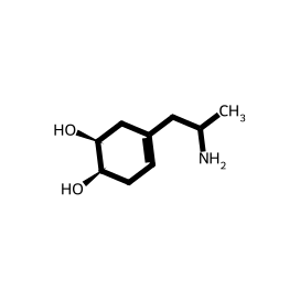 CC(N)CC1=CC[C@@H](O)[C@@H](O)C1